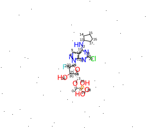 CC(OC[C@H]1O[C@@H](n2ncc3c(NC4CCCC4)nc(Cl)nc32)[C@@H](F)[C@@H]1O)P(=O)(O)O